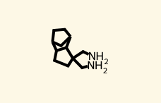 NCC1(CN)CCC2C3CCC(C3)C21